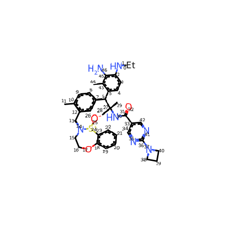 CCNc1ccc(C(c2ccc(C)c(CN3CCOc4ccccc4[S+]3[O-])c2)C(C)(C)NC(=O)c2cnc(N3CCC3)nc2)c(C)c1N